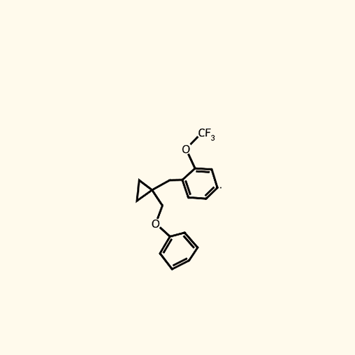 FC(F)(F)Oc1c[c]ccc1CC1(COc2ccccc2)CC1